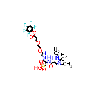 C=C(NCC)N(CC)CCC(=O)N[C@@H](CS(=O)(=O)O)C(=O)NCCOCCOCCC(=O)Oc1c(F)c(F)c(F)c(F)c1F